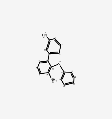 Nc1cccc(-c2cccc(N)c2Sc2ccccc2)c1